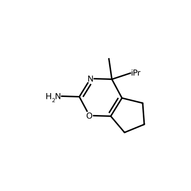 CC(C)C1(C)N=C(N)OC2=C1CCC2